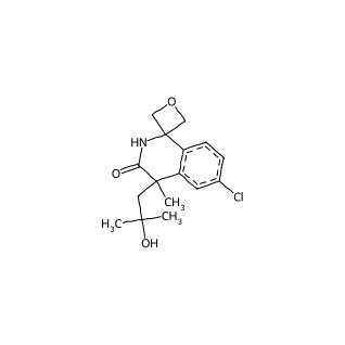 CC(C)(O)CC1(C)C(=O)NC2(COC2)c2ccc(Cl)cc21